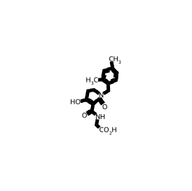 Cc1ccc(CN2CCC(O)=C(C(=O)NCC(=O)O)C2=O)c(C)c1